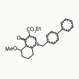 CCOC(=O)c1cn(Cc2ccc(-c3ccccc3)cc2)c2c(c1=O)C(OC)CCC2